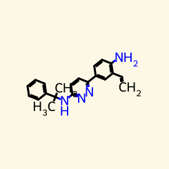 C=Cc1cc(-c2ccc(NC(C)(C)c3ccccc3)nn2)ccc1N